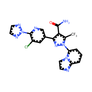 NC(=O)c1c(-c2cnc(-n3nccn3)c(Cl)c2)nn(-c2cccc3nccn23)c1C(F)(F)F